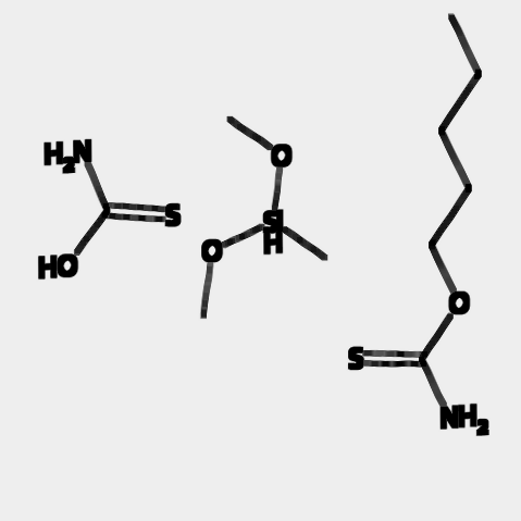 CCCCCOC(N)=S.CO[SiH](C)OC.NC(O)=S